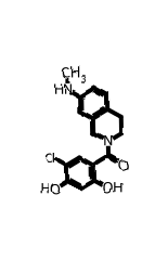 CNc1ccc2c(c1)CN(C(=O)c1cc(Cl)c(O)cc1O)CC2